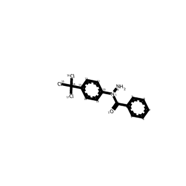 NN(C(=O)c1ccccc1)c1ccc(C(Cl)(Cl)Cl)cc1